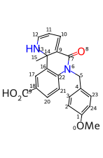 COc1ccc(CN2C(=O)C3=CC=CNC3(C)c3cc(C(=O)O)ccc32)cc1